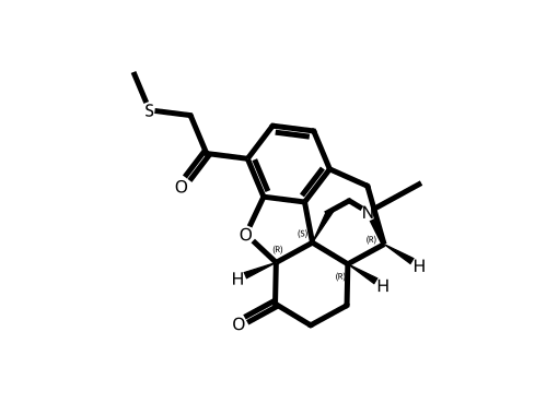 CSCC(=O)c1ccc2c3c1O[C@H]1C(=O)CC[C@H]4[C@@H](C2)N(C)CC[C@]314